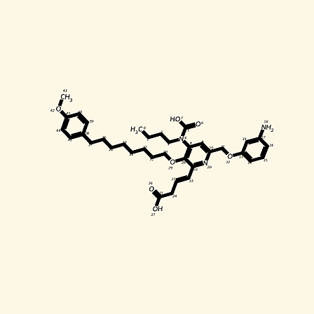 CCCCN(C(=O)O)c1cc(COc2cccc(N)c2)nc(/C=C/CC(=O)O)c1OCCCCCCCCc1ccc(OC)cc1